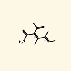 C=C(C)/C(C(=C)N)=C(C)\C(C)=C\C